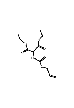 C=CCOC(=O)NC(C(=O)OCC)C(=O)OCC